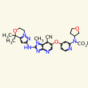 Cn1c(Nc2cc3n(n2)CCOC3(C)C)nc2ncc(Oc3ccnc(N(C(=O)O)C4CCOC4)c3)c(C#N)c21